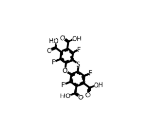 O=C(O)c1c(F)c2c(c(F)c1C(=O)O)Sc1c(F)c(C(=O)O)c(C(=O)O)c(F)c1O2